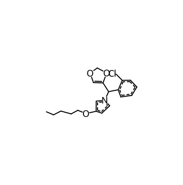 CCCCCOc1ccn(C(C2=COCO2)c2ccccc2Cl)c1